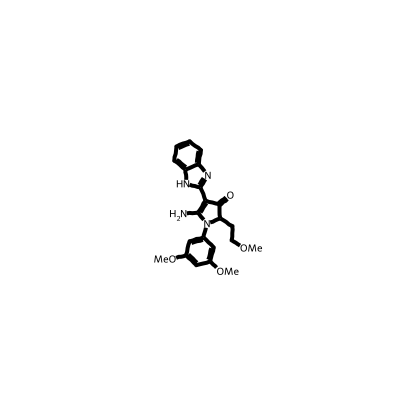 COCCC1C(=O)C(c2nc3ccccc3[nH]2)=C(N)N1c1cc(OC)cc(OC)c1